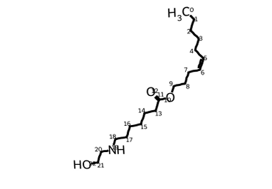 CCCCC/C=C\CCCOC(=O)CCCCCCNCCO